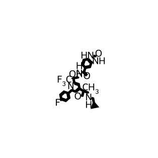 C[C@]1(CNCC2CC2)COc2c1cc([C@@](O)(CNC(=O)c1ccc3[nH]c(=O)[nH]c3c1)C(F)(F)F)nc2-c1ccc(F)cc1